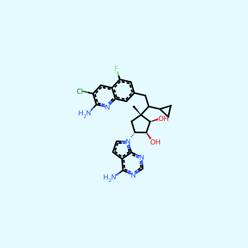 C[C@]1(C(Cc2cc(F)c3cc(Cl)c(N)nc3c2)C2CC2)C[C@@H](n2ccc3c(N)ncnc32)[C@H](O)[C@@H]1O